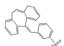 CNS(=O)(=O)c1cccc(/C=C2\C3=CC=CCC3=CCc3ccccc32)c1